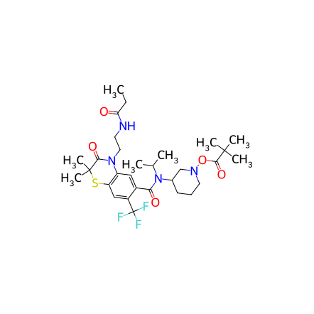 CCC(=O)NCCN1C(=O)C(C)(C)Sc2cc(C(F)(F)F)c(C(=O)N(C(C)C)C3CCCN(OC(=O)C(C)(C)C)C3)cc21